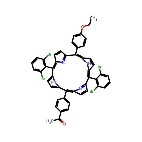 CCOc1ccc(-c2c3nc(c(-c4c(Br)cccc4Br)c4ccc([nH]4)c(-c4ccc(C(C)=O)cc4)c4nc(c(-c5c(Br)cccc5Br)c5ccc2[nH]5)C=C4)C=C3)cc1